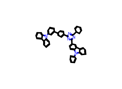 C1=CCC(c2nc(-c3ccc(-c4cccc(-n5c6ccccc6c6ccccc65)c4)cc3)nc(-c3ccc4c(c3)c3ccccc3n4-c3ccccc3)n2)C=C1